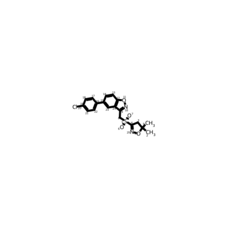 CC1(C)CC(S(=O)(=O)Cc2noc3ccc(-c4ccc(Cl)cc4)cc23)=NO1